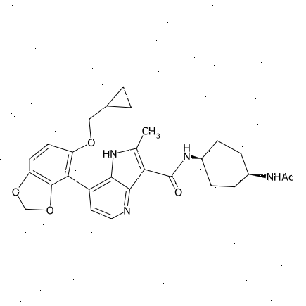 CC(=O)N[C@H]1CC[C@@H](NC(=O)c2c(C)[nH]c3c(-c4c(OCC5CC5)ccc5c4OCO5)ccnc23)CC1